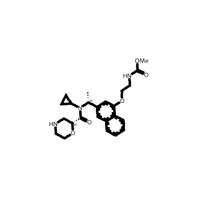 COC(=O)NCCOc1cc([C@@H](C)N(C(=O)[C@H]2CNCCO2)C2CC2)cc2ccccc12